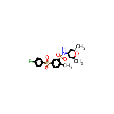 Cc1ccc(S(=O)(=O)c2ccc(F)cc2)cc1S(=O)(=O)NC1C[C@@H](C)O[C@@H](C)C1